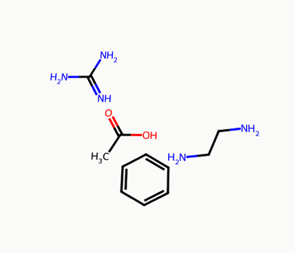 CC(=O)O.N=C(N)N.NCCN.c1ccccc1